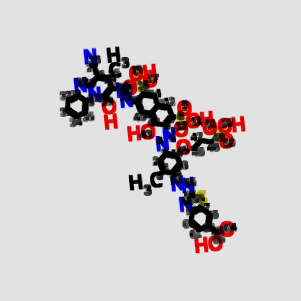 Cc1cc(N=Nc2c(S(=O)(=O)O)cc3cc(S(=O)(=O)O)c(N=Nc4c(C)c(C#N)c5nc6ccccc6n5c4O)cc3c2O)c(OCCCS(=O)(=O)O)cc1N=Nc1nc2ccc(C(=O)O)cc2s1